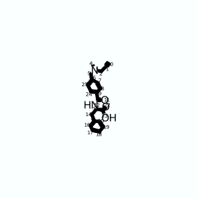 C#CCN(C)Cc1ccc(C(=O)NC(Cc2ccccc2)C(=O)O)cc1